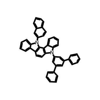 c1ccc(-c2cc(-c3ccccc3)cc(-n3c4ccccc4c4c3ccc3c5ccccc5n(-c5ccc6ccccc6c5)c34)c2)cc1